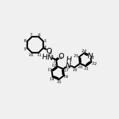 O=C(NOC1CCCCCCC1)c1ccccc1NCc1ccncc1